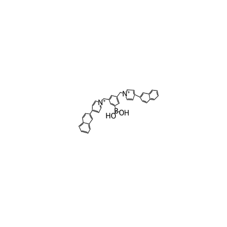 OB(O)c1cc(C[n+]2ccc(-c3ccc4ccccc4c3)cc2)cc(C[n+]2ccc(-c3ccc4ccccc4c3)cc2)c1